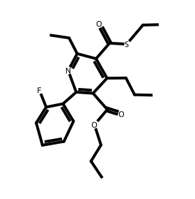 CCCOC(=O)c1c(-c2ccccc2F)nc(CC)c(C(=O)SCC)c1CCC